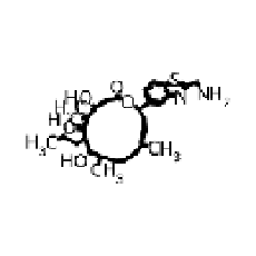 CCCC1C(=O)C(C)(C)C(O)CC(=O)OC(c2ccc3sc(CN)nc3c2)CC=C(C)CCCC(C)C1O